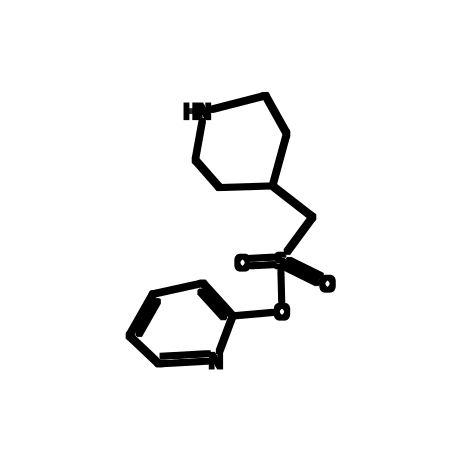 O=S(=O)(CC1CCNCC1)Oc1ccccn1